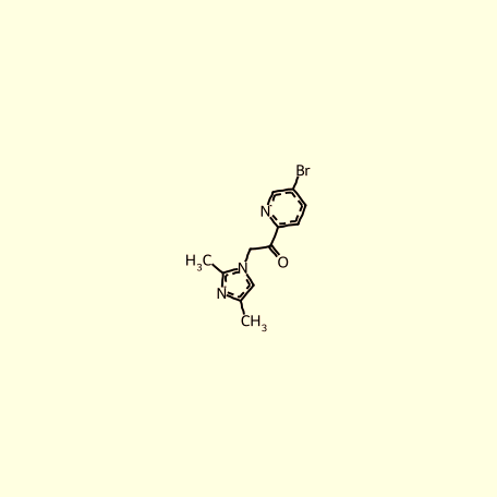 Cc1cn(CC(=O)c2ccc(Br)cn2)c(C)n1